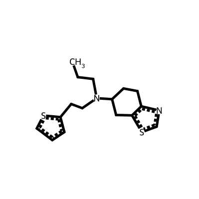 CCCN(CCc1cccs1)C1CCc2ncsc2C1